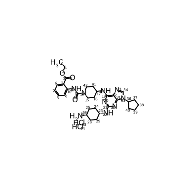 CCOC(=O)c1ccccc1NC(=O)N1CCC(Nc2nc(N[C@H]3CC[C@H](N)CC3)nc3c2ncn3C2CCCC2)CC1.Cl.Cl